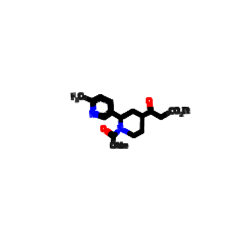 CCOC(=O)CC(=O)C1CCN(C(=O)OC)C(c2ccc(C(F)(F)F)nc2)C1